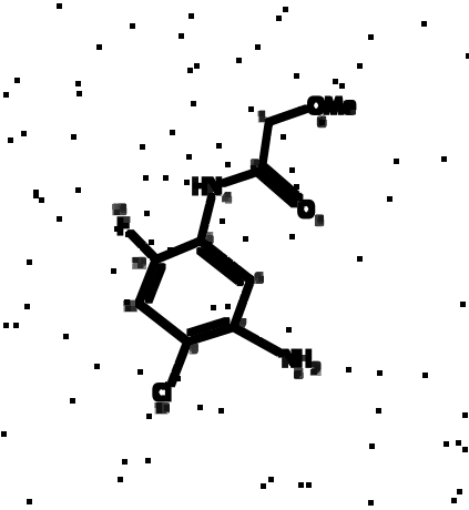 COCC(=O)Nc1cc(N)c(Cl)cc1F